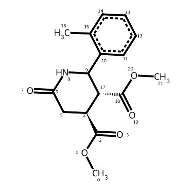 COC(=O)[C@H]1CC(=O)NC(c2ccccc2C)[C@@H]1C(=O)OC